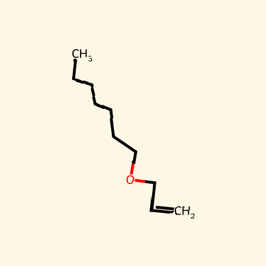 C=CCOCCCCCCC